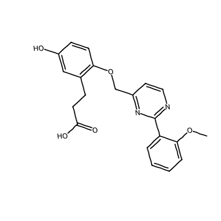 COc1ccccc1-c1nccc(COc2ccc(O)cc2CCC(=O)O)n1